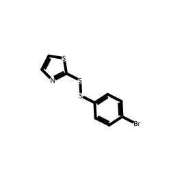 Brc1ccc(SSc2nccs2)cc1